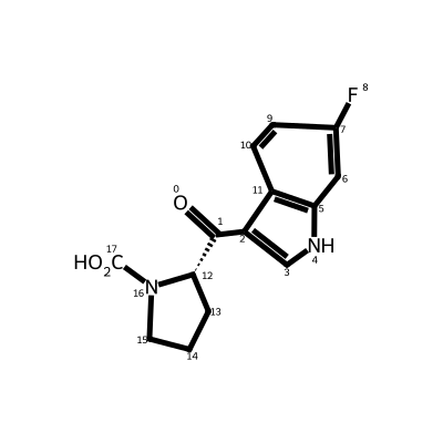 O=C(c1c[nH]c2cc(F)ccc12)[C@@H]1CCCN1C(=O)O